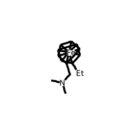 CC[C]12[CH]3[CH]4[CH]5[CH]1[Fe]45321678[CH]2[CH]1[CH]6[C]7(CN(C)C)[CH]28